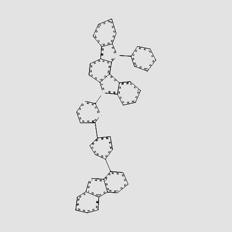 c1ccc(-n2c3ccccc3c3ccc4c(c5ccccc5n4-c4nccc(-c5ccc(-c6cccc7c6sc6ccccc67)cc5)n4)c32)cc1